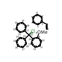 C=Cc1ccccc1.COc1ccccc1C(Cl)(c1ccccc1)c1ccccc1